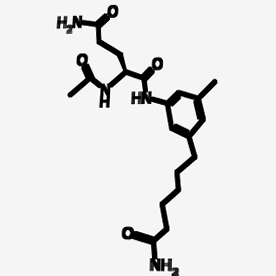 CC(=O)N[C@@H](CCC(N)=O)C(=O)Nc1cc(C)cc(CCCCCC(N)=O)c1